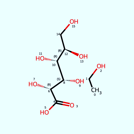 CCO.O=C(O)[C@H](O)[C@@H](O)[C@H](O)[C@H](O)CO